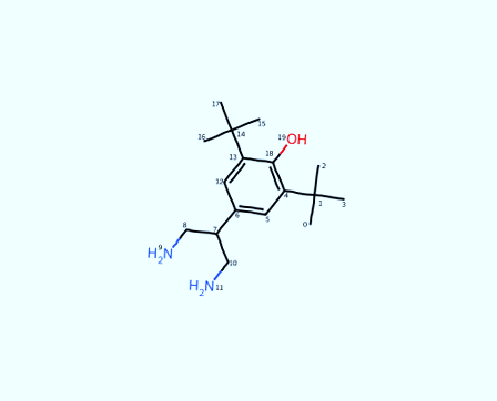 CC(C)(C)c1cc(C(CN)CN)cc(C(C)(C)C)c1O